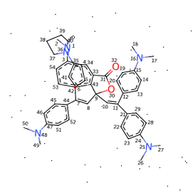 CN(C)c1ccc(C(=CC2(C=C(c3ccc(N(C)C)cc3)c3ccc(N(C)C)cc3)OC(=O)c3cc(N4CCCC4)ccc32)c2ccc(N(C)C)cc2)cc1